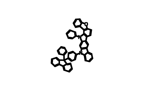 c1ccc(-n2c3cc4c(cc3c3ccc5oc6ccccc6c5c32)c2ccccc2n4-c2ccc(C3(c4ccccc4)c4ccccc4-c4ccccc43)cc2)cc1